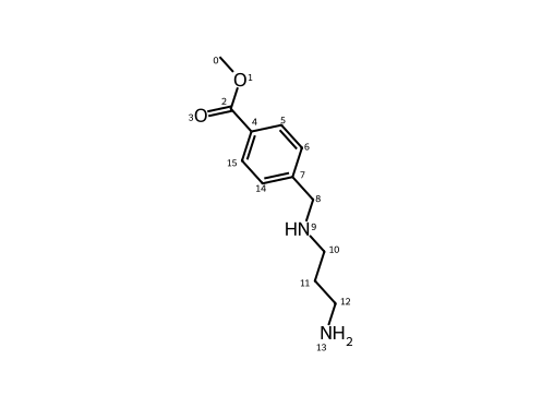 COC(=O)c1ccc(CNCCCN)cc1